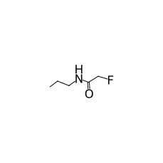 CCCNC(=O)CF